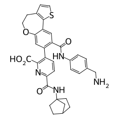 NCc1ccc(NC(=O)c2cc3c(cc2-c2ccc(C(=O)NC45CCC(CC4)C5)nc2C(=O)O)OCCc2ccsc2-3)cc1